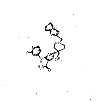 N#CCC1(n2cc(C(N)=O)c(Nc3ccnc(F)c3)n2)CCN(Cc2cn3ccccc3n2)CC1